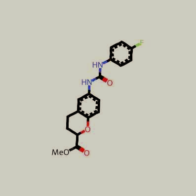 COC(=O)C1CCc2cc(NC(=O)Nc3ccc(F)cc3)ccc2O1